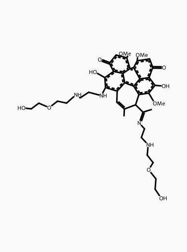 COc1c(O)c2c(=O)cc(OC)c3c4c(OC)cc(=O)c5c(O)c(NCCNCCOCCO)c6c(c(c1C(/C(C)=N/CCNCCOCCO)C(C)=C6)c23)c54